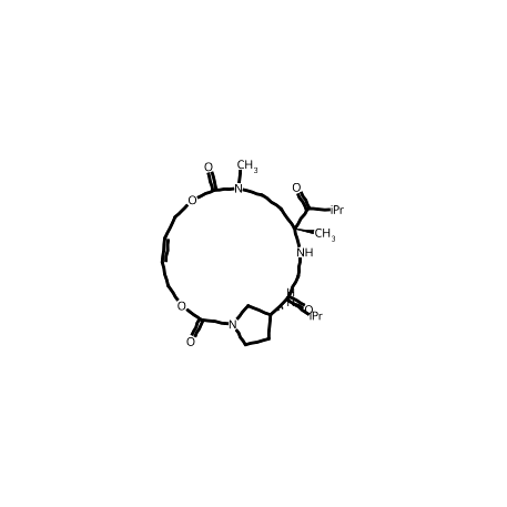 CC(C)N[C@]12CCN(C1)C(=O)OCC=CCOC(=O)N(C)CC[C@](C)(C(=O)C(C)C)NCC2=O